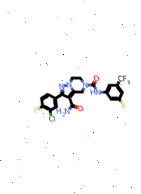 NC(=O)c1c(-c2ccc(F)c(Cl)c2)nn2c1CN(C(=O)Nc1cc(F)cc(C(F)(F)F)c1)CC2